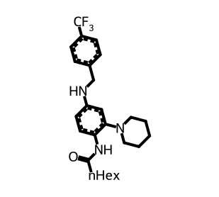 CCCCCCC(=O)Nc1ccc(NCc2ccc(C(F)(F)F)cc2)cc1N1CCCCC1